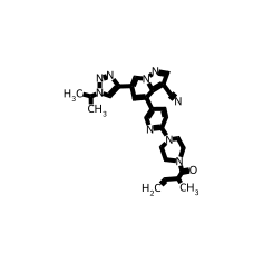 C=CC(C)C(=O)N1CCN(c2ccc(-c3cc(-c4cn(C(C)C)nn4)cn4ncc(C#N)c34)cn2)CC1